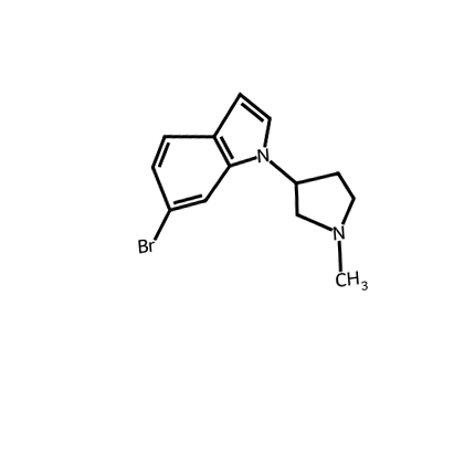 CN1CCC(n2ccc3ccc(Br)cc32)C1